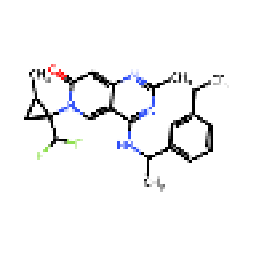 Cc1nc(N[C@H](C)c2cccc(CC(F)(F)F)c2)c2cn(C3(C(F)F)CC3C)c(=O)cc2n1